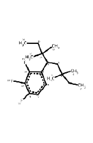 CCC(C)(C)CC(c1ccc(F)c(F)c1F)C(C)(C)CC